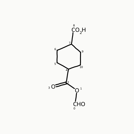 O=COC(=O)C1CCC(C(=O)O)CC1